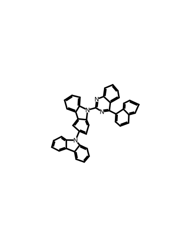 c1ccc2c(-c3nc(-n4c5ccccc5c5cc(-n6c7ccccc7c7ccccc76)ccc54)nc4ccccc34)cccc2c1